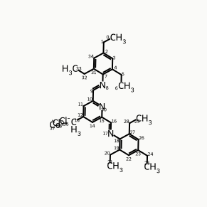 CCc1cc(CC)c(N=Cc2cc(C)cc(C=Nc3c(CC)cc(CC)cc3CC)n2)c(CC)c1.[Cl-].[Cl-].[Co+2]